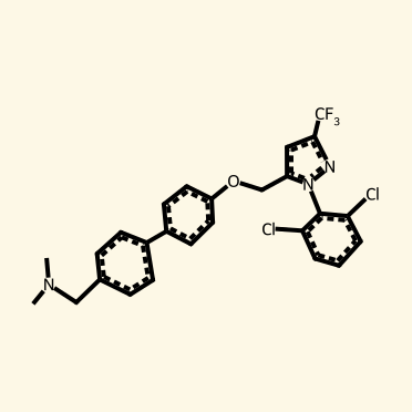 CN(C)Cc1ccc(-c2ccc(OCc3cc(C(F)(F)F)nn3-c3c(Cl)cccc3Cl)cc2)cc1